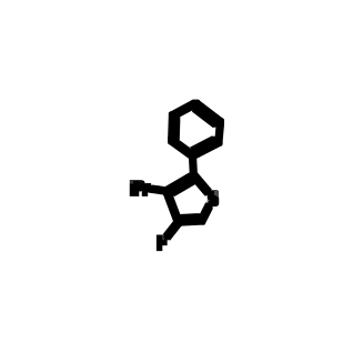 CC(C)c1c(F)csc1-c1ccccc1